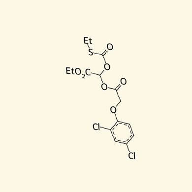 CCOC(=O)C(OC(=O)COc1ccc(Cl)cc1Cl)OC(=O)SCC